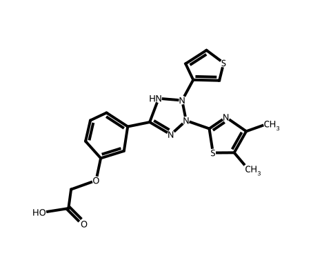 Cc1nc(N2N=C(c3cccc(OCC(=O)O)c3)NN2c2ccsc2)sc1C